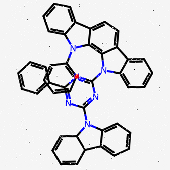 C1=CC2c3ccccc3N(c3nc(-c4ccccc4)nc(-n4c5ccccc5c5ccc6c7ccccc7n(-c7ccccc7)c6c54)n3)C2C=C1